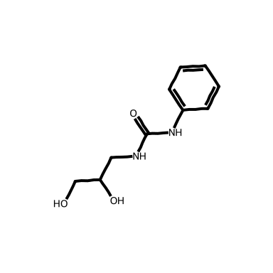 O=C(NCC(O)CO)Nc1ccccc1